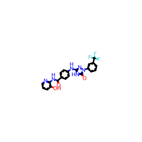 O=C(Nc1ncccc1O)c1ccc(Nc2nn(-c3cccc(C(F)(F)F)c3)c(=O)[nH]2)cc1